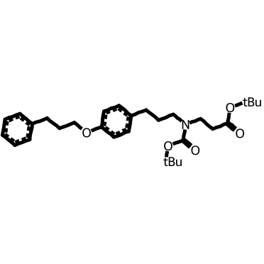 CC(C)(C)OC(=O)CCN(CCCc1ccc(OCCCc2ccccc2)cc1)C(=O)OC(C)(C)C